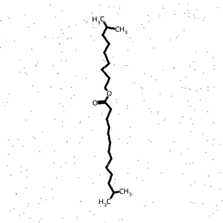 CC(C)CCCCCCCCCCC(=O)OCCCCCCCC(C)C